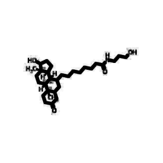 C[C@]12CCC(=O)CC1CC(CCCCCCCC(=O)NCCCO)[C@@H]1[C@H]2CC[C@]2(C)C(O)CC[C@@H]12